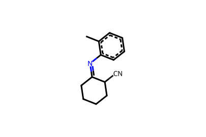 Cc1ccccc1N=C1CCCCC1C#N